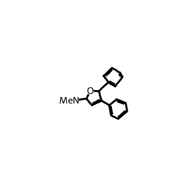 CNC1C=C(c2ccccc2)C(c2ccccc2)O1